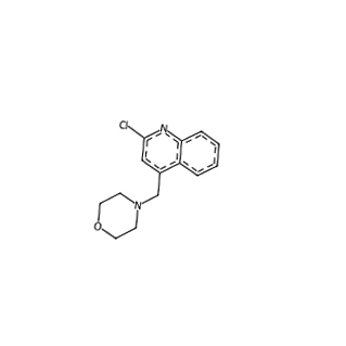 Clc1cc(CN2CCOCC2)c2ccccc2n1